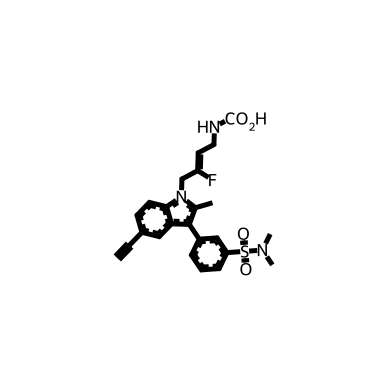 C#Cc1ccc2c(c1)c(-c1cccc(S(=O)(=O)N(C)C)c1)c(C)n2C/C(F)=C/CNC(=O)O